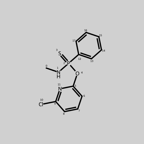 CNP(=S)(Oc1cccc(Cl)n1)c1ccccc1